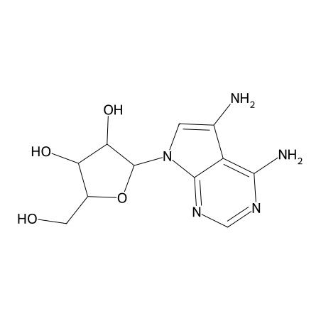 Nc1cn(C2OC(CO)C(O)C2O)c2ncnc(N)c12